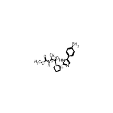 Bc1ccc(-c2cnc([C@@H]3CCCN3C(=O)[C@H](C)NC(=O)OC)[nH]2)cc1